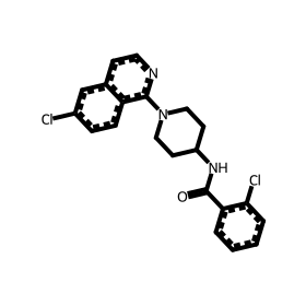 O=C(NC1CCN(c2nccc3cc(Cl)ccc23)CC1)c1ccccc1Cl